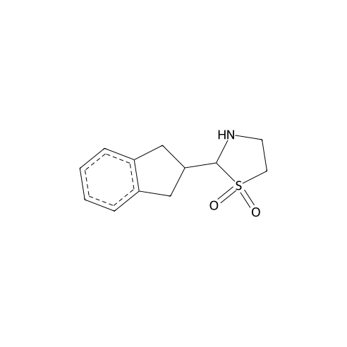 O=S1(=O)CCNC1C1Cc2ccccc2C1